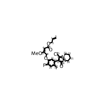 C=CCOC(=O)/C=C(\COc1cc(-c2c(Cl)n3n(c2=O)CCCC3)c(F)cc1F)OC